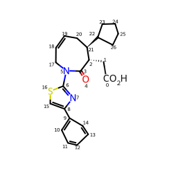 O=C(O)C[C@@H]1C(=O)N(c2nc(-c3ccccc3)cs2)CC=CC[C@H]1C1CCCC1